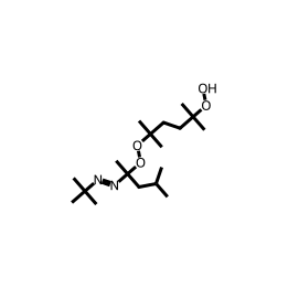 CC(C)CC(C)(/N=N/C(C)(C)C)OOC(C)(C)CCC(C)(C)OO